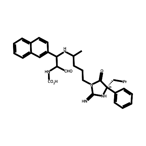 CC(C)C[C@]1(c2ccccc2)NC(=N)N(CCCC(C)NC(c2ccc3ccccc3c2)C(C=O)NC(=O)O)C1=O